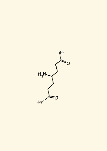 CC(C)C(=O)CCC(N)CCC(=O)C(C)C